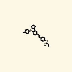 C=CC(=O)Oc1ccc(C=Cc2ccc3c(c2)c2c(n3-c3ccc(C)cc3)CCC2)cc1